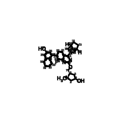 CN1C[C@H](O)C[C@H]1COc1nc(N2C[C@H]3CC[C@@H](C2)N3)c2ccc(-c3cc(O)cc4ccccc34)c(F)c2n1